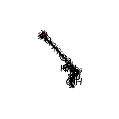 COc1cc(OCCOCCCCCCCCCCCCOCCC23CC4CC(CC(C4)C2)C3)ccc1Nc1ncc2c(C)cc(=O)n(-c3cccc(NC(=O)C4CC4)c3)c2n1